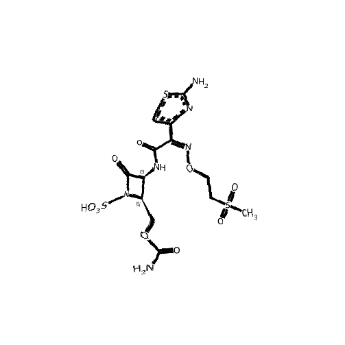 CS(=O)(=O)CCON=C(C(=O)N[C@@H]1C(=O)N(S(=O)(=O)O)[C@@H]1COC(N)=O)c1csc(N)n1